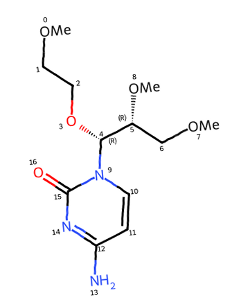 COCCO[C@H]([C@@H](COC)OC)n1ccc(N)nc1=O